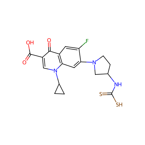 O=C(O)c1cn(C2CC2)c2cc(N3CCC(NC(=S)S)C3)c(F)cc2c1=O